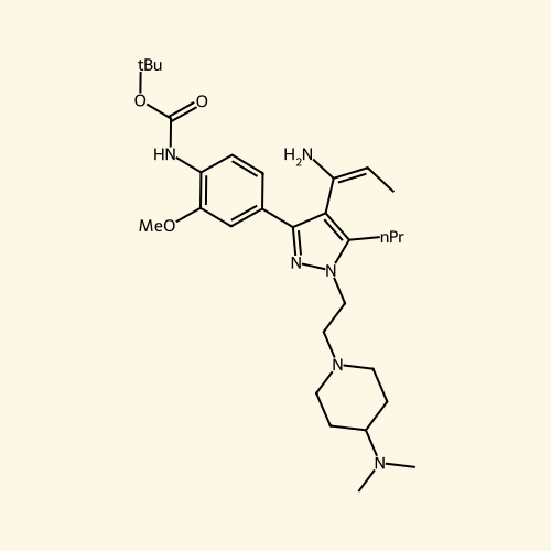 C/C=C(/N)c1c(-c2ccc(NC(=O)OC(C)(C)C)c(OC)c2)nn(CCN2CCC(N(C)C)CC2)c1CCC